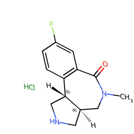 CN1C[C@H]2CNC[C@@H]2c2ccc(F)cc2C1=O.Cl